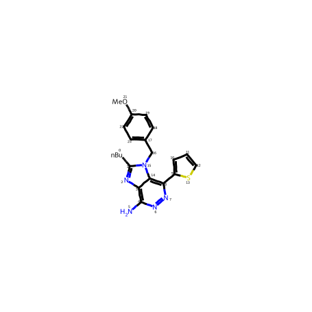 CCCCc1nc2c(N)nnc(-c3cccs3)c2n1Cc1ccc(OC)cc1